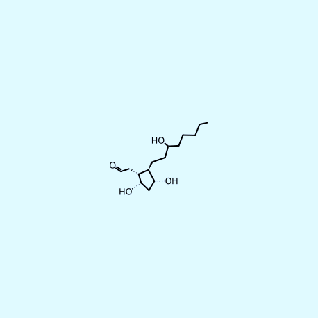 CCCCCC(O)CC[C@@H]1[C@@H](CC=O)[C@@H](O)C[C@H]1O